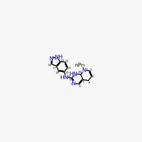 CCCN1C=CCC2=CN=C(Nc3ccc4[nH]ncc4c3)NC21